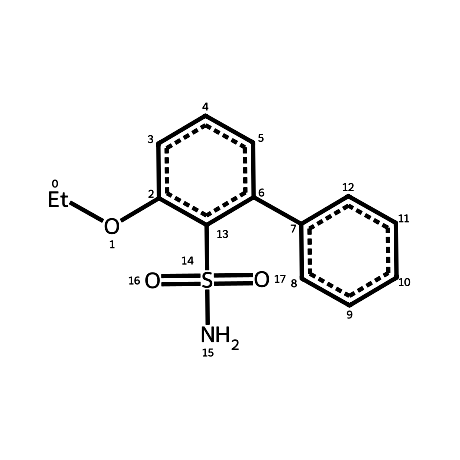 CCOc1cccc(-c2ccccc2)c1S(N)(=O)=O